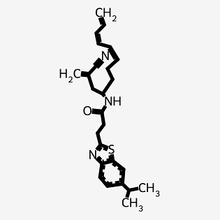 C=C/C=C\C=C/CCC(CC(=C)C#N)NC(=O)CCc1nc2ccc(C(C)C)cc2s1